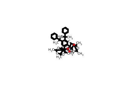 CC12CC3(C)OC(C)(CC(C)(O1)C3(CP)c1cc(C(C)(C)c3ccccc3)c(C(C)(C)c3ccccc3)cc1C1(CP)C3(C)CC4(C)OC(C)(CC1(C)O4)O3)O2